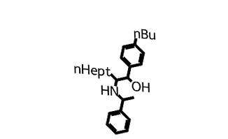 CCCCCCCC(NC(C)c1ccccc1)C(O)c1ccc(CCCC)cc1